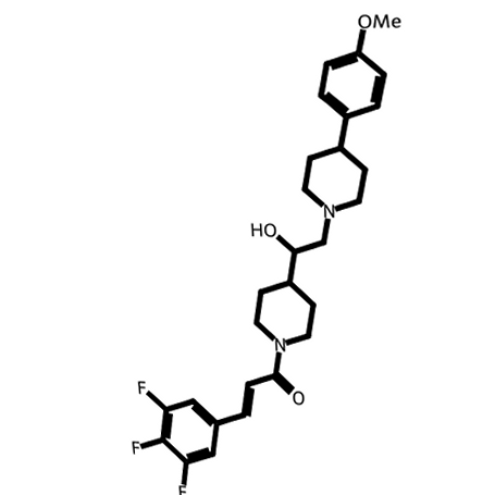 COc1ccc(C2CCN(CC(O)C3CCN(C(=O)C=Cc4cc(F)c(F)c(F)c4)CC3)CC2)cc1